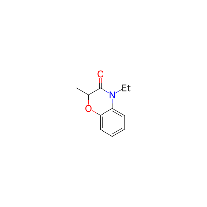 CCN1C(=O)C(C)Oc2ccccc21